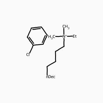 CCCCCCCCCCCCCC[N+](C)(C)CC.Clc1ccccc1